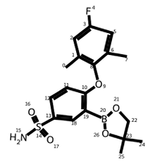 Cc1cc(F)cc(C)c1Oc1ccc(S(N)(=O)=O)cc1B1OCC(C)(C)O1